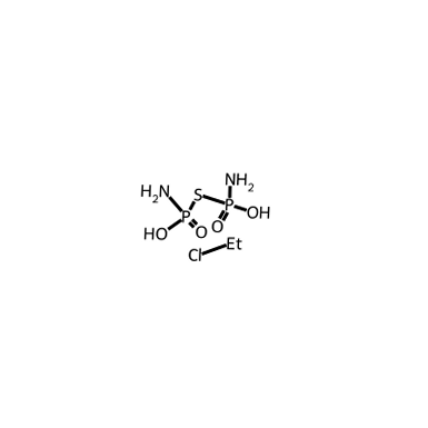 CCCl.NP(=O)(O)SP(N)(=O)O